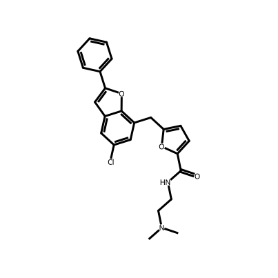 CN(C)CCNC(=O)c1ccc(Cc2cc(Cl)cc3cc(-c4ccccc4)oc23)o1